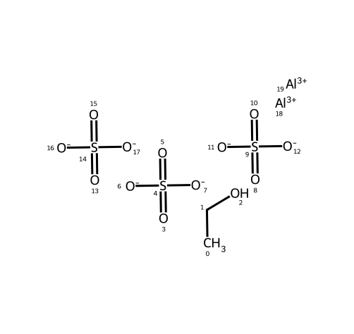 CCO.O=S(=O)([O-])[O-].O=S(=O)([O-])[O-].O=S(=O)([O-])[O-].[Al+3].[Al+3]